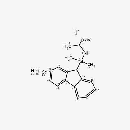 CCCCCCCCCCC(C)N[Si](C)(C)C1c2ccccc2-c2ccccc21.[H-].[H-].[H-].[Sc+3]